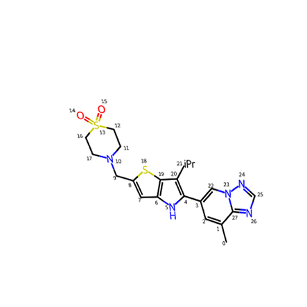 Cc1cc(-c2[nH]c3cc(CN4CCS(=O)(=O)CC4)sc3c2C(C)C)cn2ncnc12